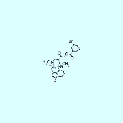 COC12CC(C(=O)COC(=O)c3cncc(Br)c3)CN(C)[C@@H]1Cc1c[nH]c3cccc2c13